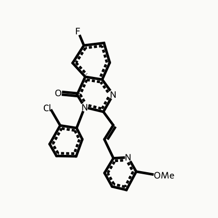 COc1cccc(C=Cc2nc3ccc(F)cc3c(=O)n2-c2ccccc2Cl)n1